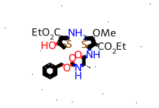 CCOC(=O)c1c(O)csc1N.CCOC(=O)c1c(OC)csc1NC(=O)[C@H](C)NC(=O)OCc1ccccc1